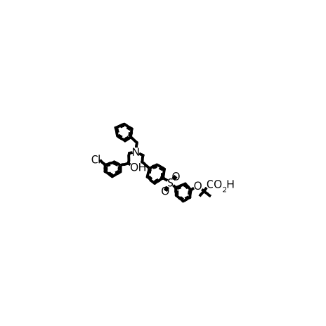 CC(C)(Oc1cccc(S(=O)(=O)c2ccc(CCN(Cc3ccccc3)CC(O)c3cccc(Cl)c3)cc2)c1)C(=O)O